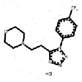 Cl.FC(F)(F)c1ccc(-n2nnnc2CCN2CCOCC2)cc1